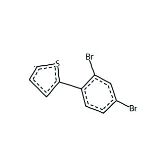 Brc1ccc(-c2cc[c]s2)c(Br)c1